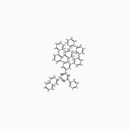 c1ccc(-c2nc(-c3ccc(-c4c(-c5ccccc5)c(-c5ccccc5)c(-c5ccccc5)c(-c5ccccc5)c4-c4ccccc4)cc3)nc(-c3ccc4ccccc4c3)n2)cc1